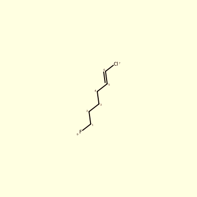 FCCCCC=CCl